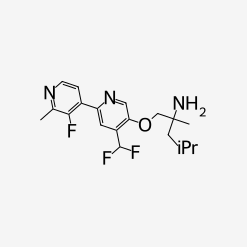 Cc1nccc(-c2cc(C(F)F)c(OCC(C)(N)CC(C)C)cn2)c1F